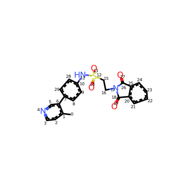 Cc1ccncc1-c1ccc(NS(=O)(=O)CCN2C(=O)c3ccccc3C2=O)cc1